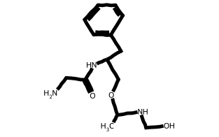 CC(NCO)OCC(Cc1ccccc1)NC(=O)CN